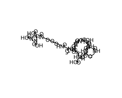 CCCC[C@H](NC(=O)CCC(=O)NCCCOCCOCCOCCCNC(=O)CC[C@H](C(=O)O)N1CCN(CC(=O)O)CCN(CC(=O)O)CC1)C(=O)N[C@H]1CSSC[C@@H](C(=O)NCCC(=O)O)NC(=O)[C@@H]2Cc3cccc(c3)CCNC(=O)CC[C@H](NC(=O)[C@H]([C@@H](C)O)NC(=O)[C@@H]3CCCN3C(=O)[C@@H]3CCCN3C1=O)C(=O)N2